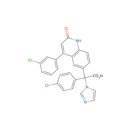 O=C(O)C(c1ccc(Cl)cc1)(c1ccc2[nH]c(=O)cc(-c3cccc(Cl)c3)c2c1)n1ccnc1